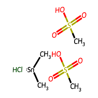 CS(=O)(=O)O.CS(=O)(=O)O.Cl.[CH3][Sn][CH3]